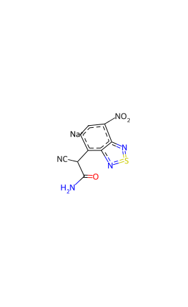 N#CC(C(N)=O)c1ccc([N+](=O)[O-])c2nsnc12.[Na+]